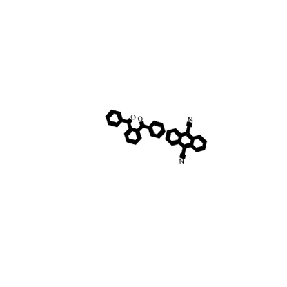 N#Cc1c2ccccc2c(C#N)c2ccccc12.O=C(c1ccccc1)c1ccccc1C(=O)c1ccccc1